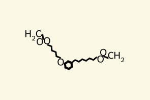 C=CC(=O)OCCCCCCCc1cccc(OCCCCCCOC(=O)C=C)c1